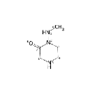 CNN1CCNCC1=O